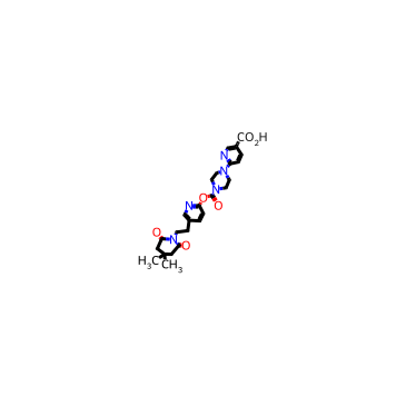 CC1(C)CC(=O)N(CCc2ccc(OC(=O)N3CCN(c4ccc(C(=O)O)cn4)CC3)nc2)C(=O)C1